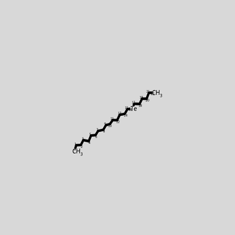 CCCCCCCCCCCCCCCC[Te]CCCCCC